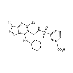 CCc1nc2c(cnn2CC)c(NC2CCOCC2)c1CNS(=O)(=O)c1cccc(C(=O)O)c1